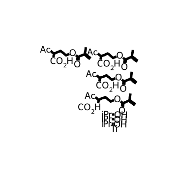 C=C(C)C(=O)OCCC(C(C)=O)C(=O)O.C=C(C)C(=O)OCCC(C(C)=O)C(=O)O.C=C(C)C(=O)OCCC(C(C)=O)C(=O)O.C=C(C)C(=O)OCCC(C(C)=O)C(=O)O.CC(C)O.CC(C)O.CC(C)O.[Ti]